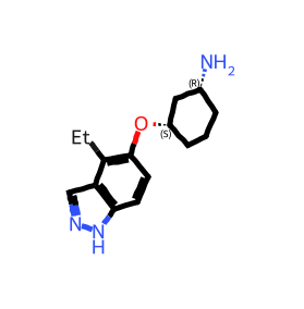 CCc1c(O[C@H]2CCC[C@@H](N)C2)ccc2[nH]ncc12